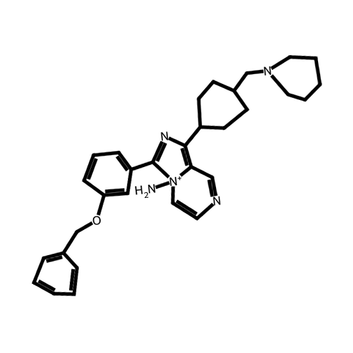 N[N+]12C=CN=CC1=C(C1CCC(CN3CCCCC3)CC1)N=C2c1cccc(OCc2ccccc2)c1